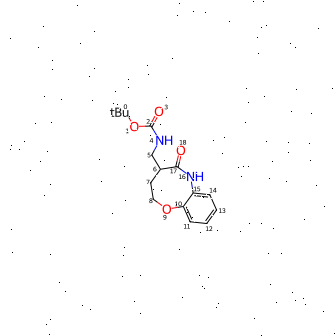 CC(C)(C)OC(=O)NCC1CCOc2ccccc2NC1=O